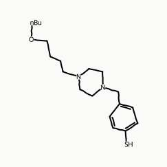 CCCCOCCCCN1CCN(Cc2ccc(S)cc2)CC1